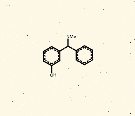 CNC(c1ccccc1)c1cccc(O)c1